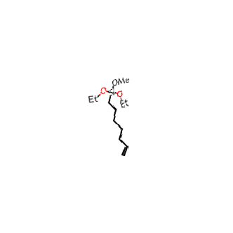 C=CCCCCC[Si](OC)(OCC)OCC